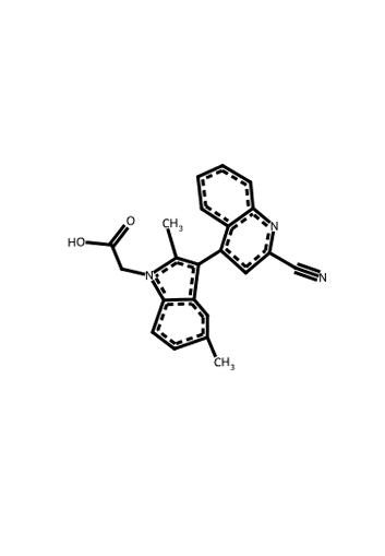 Cc1ccc2c(c1)c(-c1cc(C#N)nc3ccccc13)c(C)n2CC(=O)O